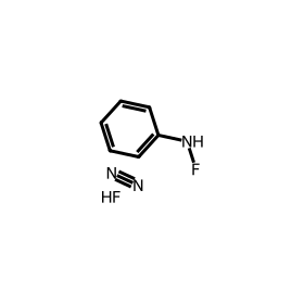 F.FNc1ccccc1.N#N